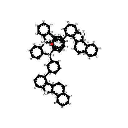 c1cc(-c2cccc3oc4c5ccccc5ccc4c23)cc(N(c2ccc(-c3cccc4oc5c6ccccc6ccc5c34)cc2)c2ccccc2-n2c3ccccc3c3ccccc32)c1